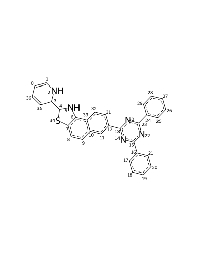 C1=CNC(C2Nc3c(ccc4cc(-c5nc(-c6ccccc6)nc(-c6ccccc6)n5)ccc34)S2)C=C1